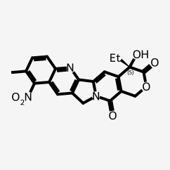 CC[C@@]1(O)C(=O)OCc2c1cc1n(c2=O)Cc2cc3c([N+](=O)[O-])c(C)ccc3nc2-1